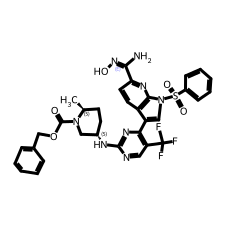 C[C@H]1CC[C@H](Nc2ncc(C(F)(F)F)c(-c3cn(S(=O)(=O)c4ccccc4)c4nc(/C(N)=N\O)ccc34)n2)CN1C(=O)OCc1ccccc1